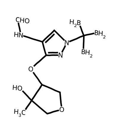 BC(B)(B)n1cc(NC=O)c(OC2COCC2(C)O)n1